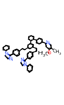 COc1cc(-c2ccc(-c3ccccc3-c3cc(CCc4ccc(-c5nccn5-c5ccccc5)cc4)cc(CCc4ccc(-c5nccn5-c5ccccc5)cc4)c3)cc2)ncc1C